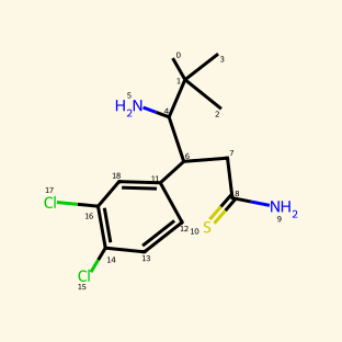 CC(C)(C)C(N)C(CC(N)=S)c1ccc(Cl)c(Cl)c1